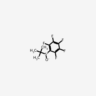 CC(C)(C)[S+]([O-])c1c(F)c(F)c(F)c(F)c1F